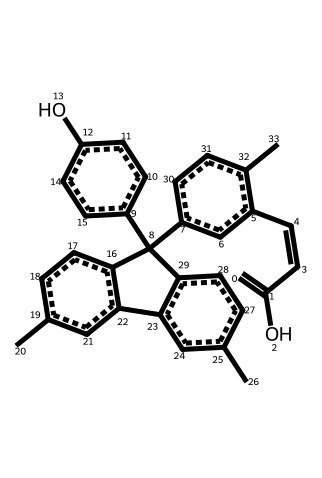 C=C(O)/C=C\c1cc(C2(c3ccc(O)cc3)c3ccc(C)cc3-c3cc(C)ccc32)ccc1C